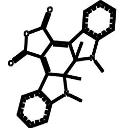 CN1c2ccccc2C2=C3C(=O)OC(=O)C3=C3c4ccccc4N(C)C3(C)C21C